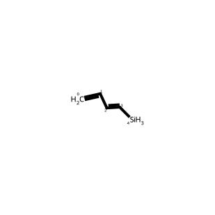 C=CC=C[SiH3]